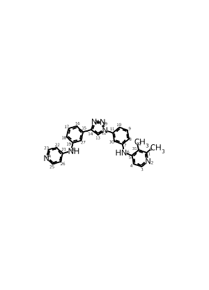 Cc1nccc(Nc2cccc(-n3cc(-c4cccc(Nc5ccncc5)c4)nn3)c2)c1C